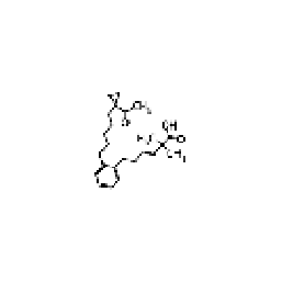 CC(=O)C1(CCCCCc2ccccc2CCCCC(C)(C)C(=O)O)CC1